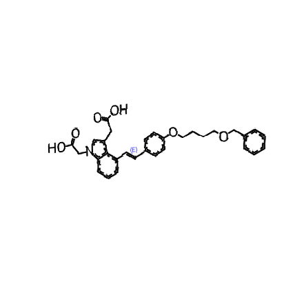 O=C(O)Cc1cn(CC(=O)O)c2cccc(/C=C/c3ccc(OCCCCOCc4ccccc4)cc3)c12